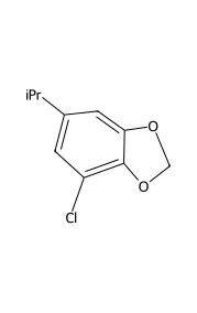 CC(C)c1cc(Cl)c2c(c1)OCO2